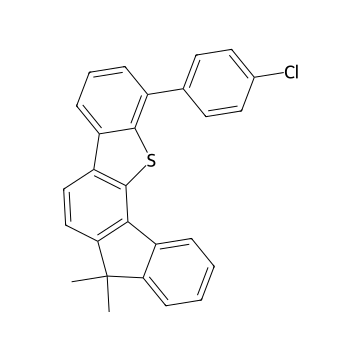 CC1(C)c2ccccc2-c2c1ccc1c2sc2c(-c3ccc(Cl)cc3)cccc21